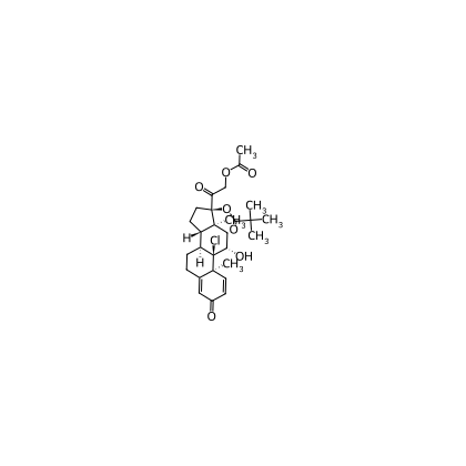 CC(=O)OCC(=O)[C@@]1(OC(=O)C(C)(C)C)CC[C@H]2[C@@H]3CCC4=CC(=O)C=C[C@]4(C)[C@@]3(Cl)[C@@H](O)C[C@@]21C